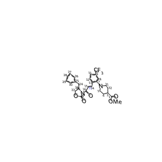 COC(=O)C1CCN(c2cc(C(F)(F)F)ccc2/C=C/C(=O)N2C(=O)OC[C@H]2Cc2ccccc2)CC1